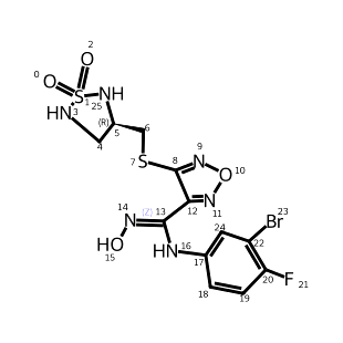 O=S1(=O)NC[C@H](CSc2nonc2/C(=N/O)Nc2ccc(F)c(Br)c2)N1